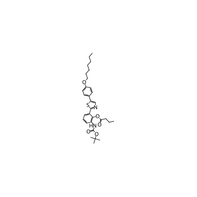 CCCCCCCOc1ccc(-c2cnc(-c3cccc(NC(=O)OC(C)(C)C)c3OC(=O)CCC)s2)cc1